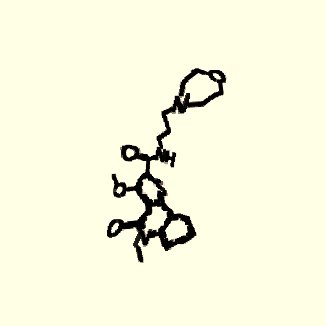 COc1c(C(=O)NCCCN2CCOCC2)sc2c1c(=O)n(C)c1ccccc21